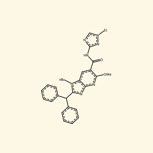 CCCCn1c(C(c2ccccc2)c2ccccc2)nc2nc(OC)c(C(=O)Nc3ncn(CC)n3)cc21